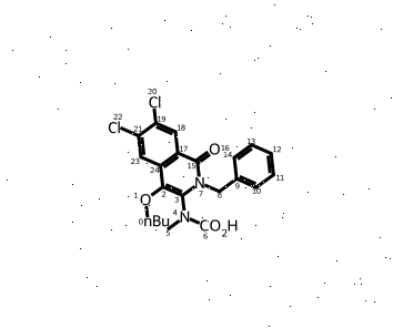 CCCCOc1c(N(C)C(=O)O)n(Cc2ccccc2)c(=O)c2cc(Cl)c(Cl)cc12